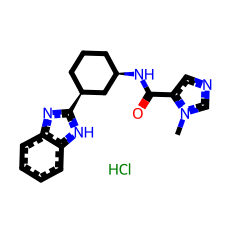 Cl.Cn1cncc1C(=O)N[C@@H]1CCC[C@H](c2nc3ccccc3[nH]2)C1